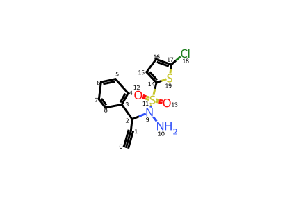 C#CC(c1ccccc1)N(N)S(=O)(=O)c1ccc(Cl)s1